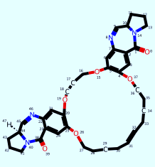 O=C1c2cc3c(cc2N=CC2CCCN12)OCCCOc1cc2c(cc1OCCCC/C=C/CCCCO3)C(=O)N1CCC[C@H]1C=N2